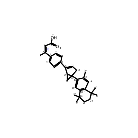 C/C(=C/C(=O)O)c1ccc(C2=CCC3(c4cc5c(cc4C)C(C)(C)CCC5(C)C)CC23)cc1